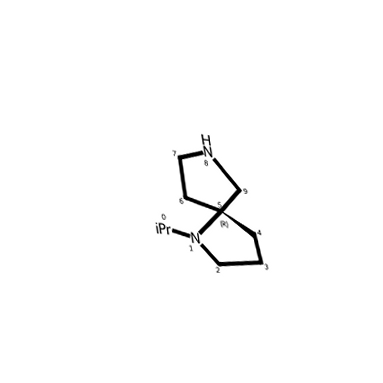 CC(C)N1CCC[C@]12CCNC2